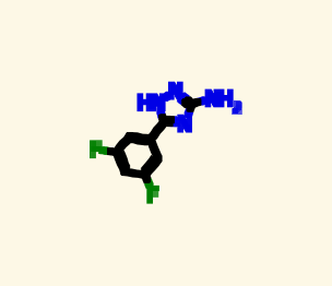 Nc1n[nH]c(-c2cc(F)cc(F)c2)n1